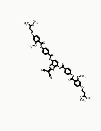 COc1cc(OCCC(C)OC)ccc1C(=O)Oc1ccc(C(=O)Oc2ccc(OC(=O)c3ccc(OC(=O)c4ccc(OCCC(C)OC)cc4OC)cc3)c3c2SC(=C(C#N)C#N)S3)cc1